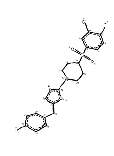 O=S(=O)(c1ccc(F)c(Cl)c1)C1CCN(c2nc(Cc3ccc(Cl)cc3)cs2)CC1